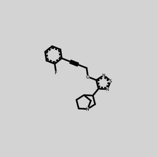 Fc1ccccc1C#CCOc1nsnc1C1CN2CCC1C2